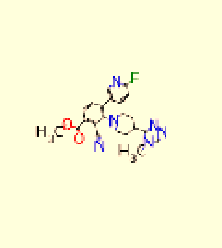 COC(=O)c1ccc(-c2ccc(F)nc2)c(N2CCC(c3nncn3C)CC2)c1C#N